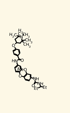 CCC(CC)NC(=O)Nc1ccc(Oc2ccc(NC(=O)c3ccc(OC4CC(C)(C)N(C)C(C)(C)C4)cc3)cc2)c(OC)c1